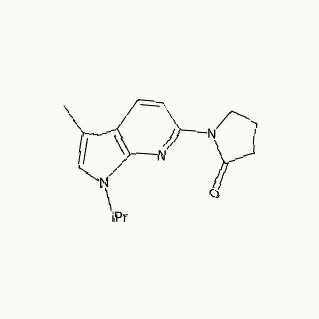 Cc1cn(C(C)C)c2nc(N3CCCC3=O)ccc12